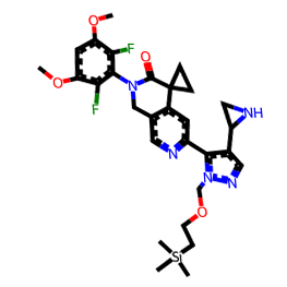 COc1cc(OC)c(F)c(N2Cc3cnc(-c4c(C5CN5)cnn4COCC[Si](C)(C)C)cc3C3(CC3)C2=O)c1F